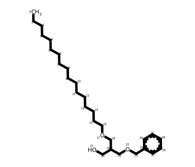 CCCCCCCCCCCCCCCCCOCC(CO)COCc1ccccc1